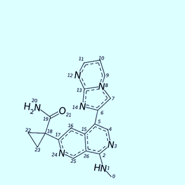 CNc1ncc(-c2cn3cccnc3n2)c2cc(C3(C(N)=O)CC3)ncc12